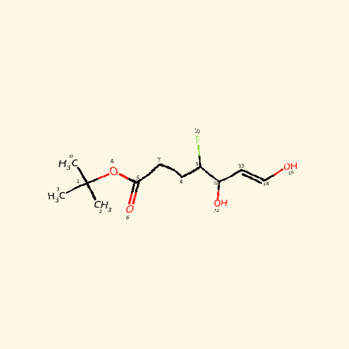 CC(C)(C)OC(=O)CCC(F)C(O)C=CO